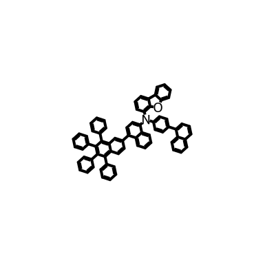 c1ccc(-c2c(-c3ccccc3)c(-c3ccccc3)c3cc(-c4ccc(N(c5ccc(-c6cccc7ccccc67)cc5)c5cccc6c5oc5ccccc56)c5ccccc45)ccc3c2-c2ccccc2)cc1